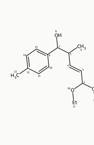 CCOC(C=CC(C)C(O)c1ccc(C)cc1)OCC